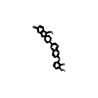 Nc1nccc(Sc2ccc3nc(N4CCC5(CC4)Cc4cc(Cl)ccc4C5N)cnc3n2)c1Cl